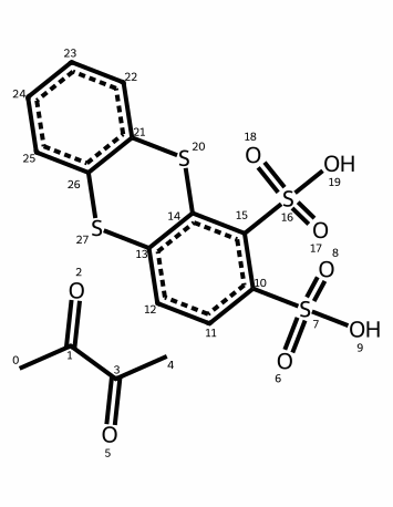 CC(=O)C(C)=O.O=S(=O)(O)c1ccc2c(c1S(=O)(=O)O)Sc1ccccc1S2